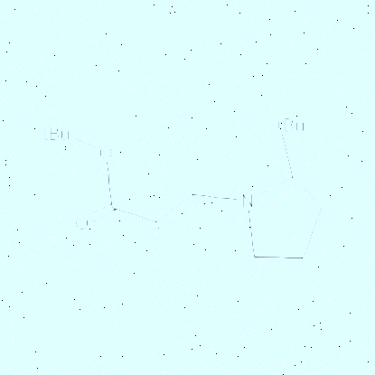 CC(C)(C)OC(=O)CCN1CCCC1C(C)(C)C